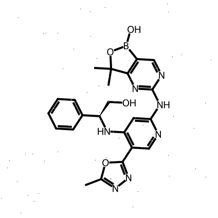 Cc1nnc(-c2cnc(Nc3ncc4c(n3)C(C)(C)OB4O)cc2N[C@H](CO)c2ccccc2)o1